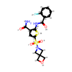 NC(=O)c1cc(S(=O)(=O)N2CC3(COC3)C2)sc1NC(=O)c1ccccc1F